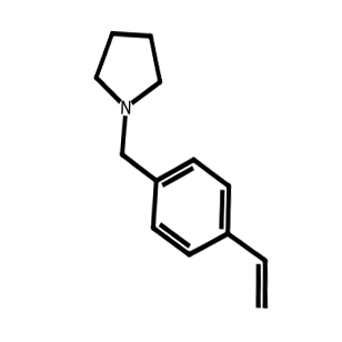 C=Cc1ccc(CN2CCCC2)cc1